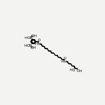 O=C(CCCCCCCCCCCCCCNC(=O)c1cc(B(O)O)cc(B(O)O)c1)NCCCCCC(O)CO